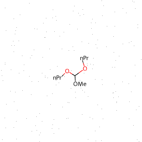 CCCOC(OC)OCCC